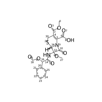 COC(=O)C1=C(C(=O)O)N2C(=O)C(NC(=O)C(OC=O)c3ccccc3)(OC)[C@@H]2SC1